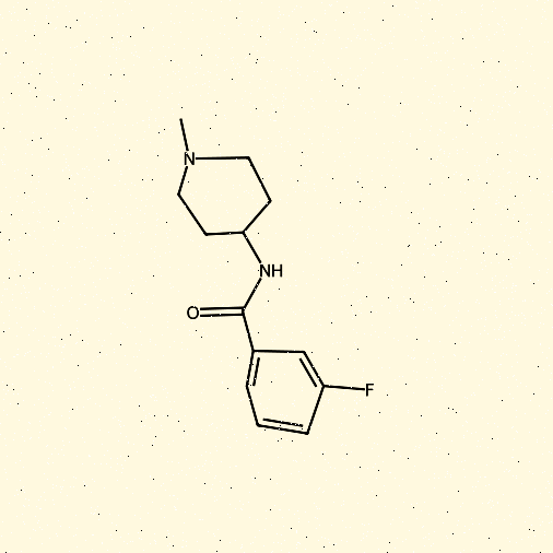 CN1CCC(NC(=O)c2cccc(F)c2)CC1